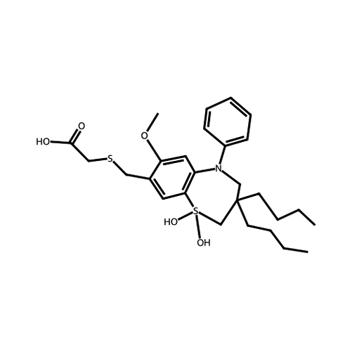 CCCCC1(CCCC)CN(c2ccccc2)c2cc(OC)c(CSCC(=O)O)cc2S(O)(O)C1